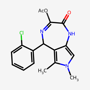 CC(=O)OC1=NC(c2ccccc2Cl)c2c(cn(C)c2C)NC1=O